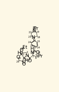 CCO[C@H]1CN(C(=O)C(CC(C)C)NC(=O)c2ccc(N3CCN(C(C)C)CC3)cc2)[C@@H]2C(=O)CO[C@H]12